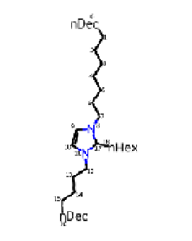 CCCCCCCCCCCCCCCCCN1C=CN(CCCCCCCCCCCCCC)C1CCCCCC